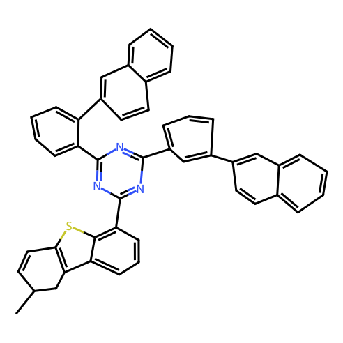 CC1C=Cc2sc3c(-c4nc(-c5cccc(-c6ccc7ccccc7c6)c5)nc(-c5ccccc5-c5ccc6ccccc6c5)n4)cccc3c2C1